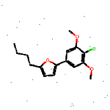 CCCCc1ccc(-c2cc(OC)c(Cl)c(OC)c2)o1